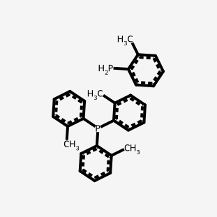 Cc1ccccc1P.Cc1ccccc1P(c1ccccc1C)c1ccccc1C